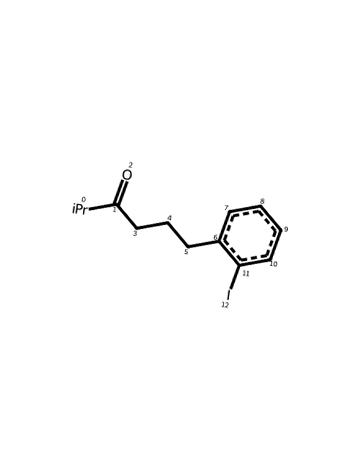 CC(C)C(=O)CCCc1ccccc1I